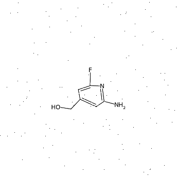 Nc1cc(CO)cc(F)n1